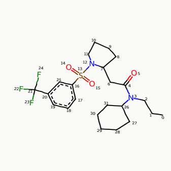 CCCN(C(=O)CC1CCCCN1S(=O)(=O)c1cccc(C(F)(F)F)c1)C1CCCCC1